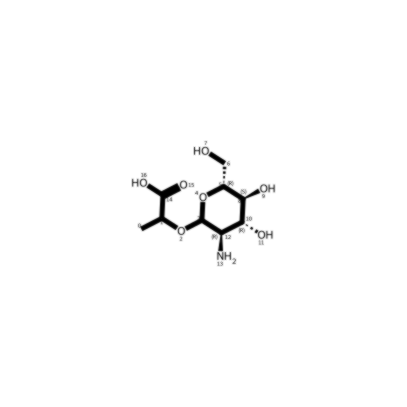 CC(OC1O[C@H](CO)[C@@H](O)[C@H](O)[C@H]1N)C(=O)O